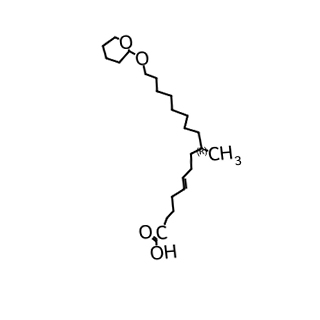 C[C@@H](CCC=CCCCCC(=O)O)CCCCCCCCOC1CCCCO1